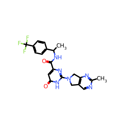 Cc1ncc2c(n1)CN(c1nc(C(=O)NC(C)c3ccc(C(F)(F)F)cc3)cc(=O)[nH]1)C2